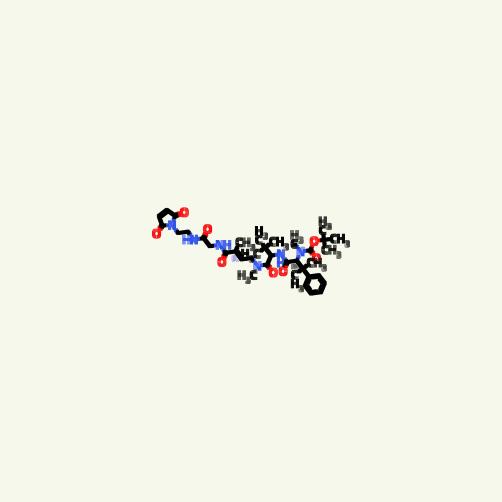 C/C(=C\CN(C)C(=O)C(NC(=O)[C@@H](N(C)C(=O)OC(C)(C)C)C(C)(C)c1ccccc1)C(C)(C)C)C(=O)NCC(=O)NCCN1C(=O)C=CC1=O